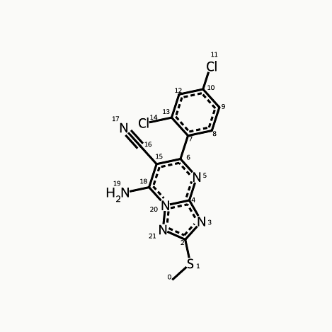 CSc1nc2nc(-c3ccc(Cl)cc3Cl)c(C#N)c(N)n2n1